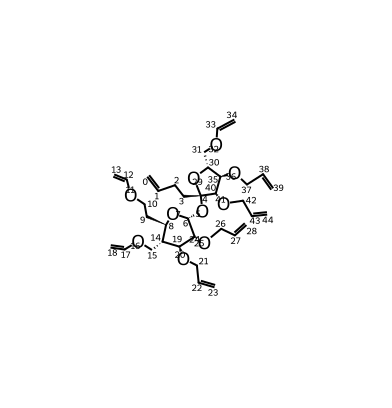 C=CCC[C@@]1(O[C@H]2O[C@H](CCOC=C)[C@@H](COC=C)[C@H](OCC=C)[C@H]2OCC=C)O[C@H](COC=C)[C@@H](OCC=C)[C@@H]1OCC=C